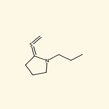 C=S=C1CCCN1CCC